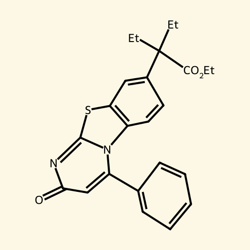 CCOC(=O)C(CC)(CC)c1ccc2c(c1)sc1nc(=O)cc(-c3ccccc3)n12